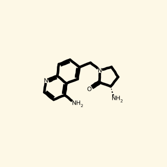 Nc1ccnc2ccc(CN3CC[C@H](N)C3=O)cc12